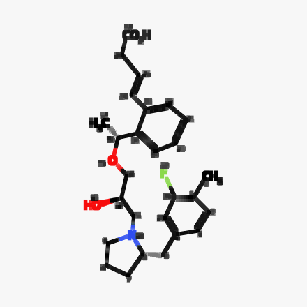 Cc1ccc(C[C@@H]2CCCN2C[C@@H](O)CO[C@H](C)c2ccccc2/C=C/CC(=O)O)cc1F